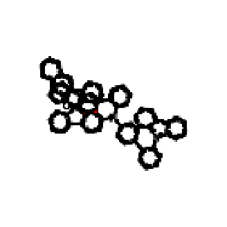 c1ccc(N(c2ccc(-c3ccccc3-n3c4ccccc4c4ccccc43)cc2)c2ccc3c(c2)C2(c4ccccc4-c4ccccc42)c2ccccc2-3)c(-c2ccc3oc4cc5ccccc5cc4c3c2)c1